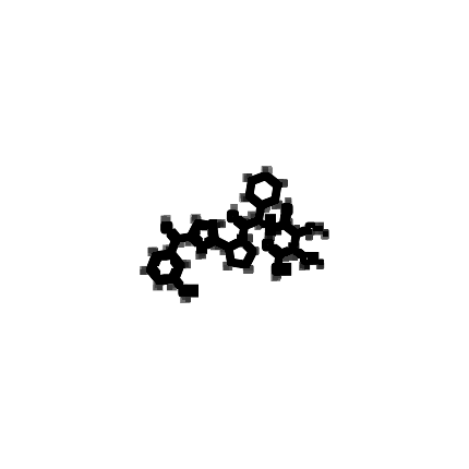 CC(C(=O)N[C@H](C(=O)N1CCCC1c1nc(C(=O)c2cccc(O)c2)cs1)C1CCCCC1)N(C)C(=O)O